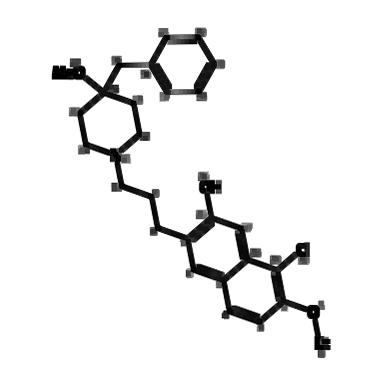 CCOc1ccc2cc(CCCN3CCC(Cc4ccccc4)(OC)CC3)c(O)cc2c1Cl